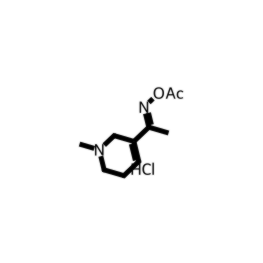 CC(=O)ON=C(C)C1=CCCN(C)C1.Cl